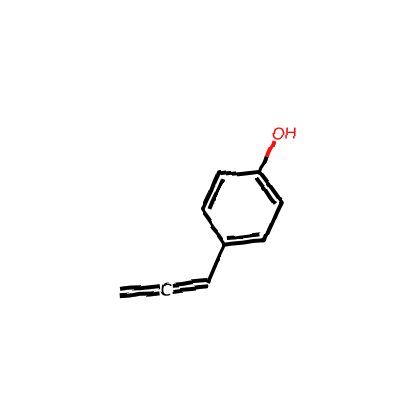 C=C=Cc1ccc(O)cc1